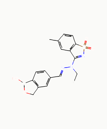 Cc1ccc2c(c1)C(N(CC(C)C)/N=C/c1ccc3c(c1)COB3O)=NS2(=O)=O